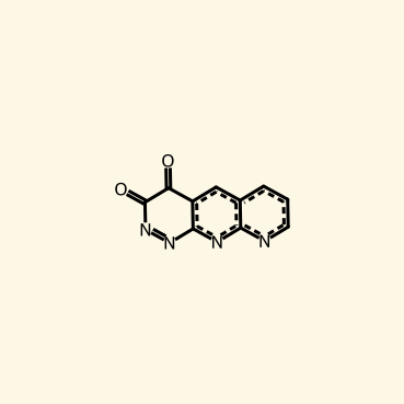 O=C1N=Nc2nc3ncccc3cc2C1=O